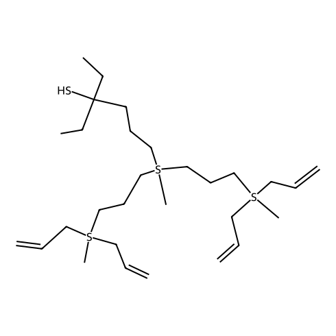 C=CCS(C)(CC=C)CCCS(C)(CCCC(S)(CC)CC)CCCS(C)(CC=C)CC=C